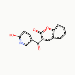 O=C(c1ccc(O)nc1)c1cc2ccccc2oc1=O